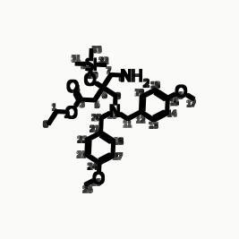 CCOC(=O)CC(CN)(CN(Cc1ccc(OC)cc1)Cc1ccc(OC)cc1)O[Si](C)(C)C